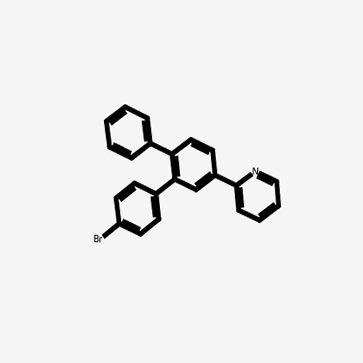 Brc1ccc(-c2cc(-c3ccccn3)ccc2-c2ccccc2)cc1